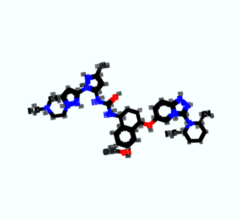 C[C@@H]1CCC[C@H](C)N1c1nnc2ccc(O[C@@H]3CC[C@H](NC(=O)Nc4cc(C(C)(C)C)nn4-c4ccn(CCN(C)C)n4)c4ccccc43)cn12.O=CO